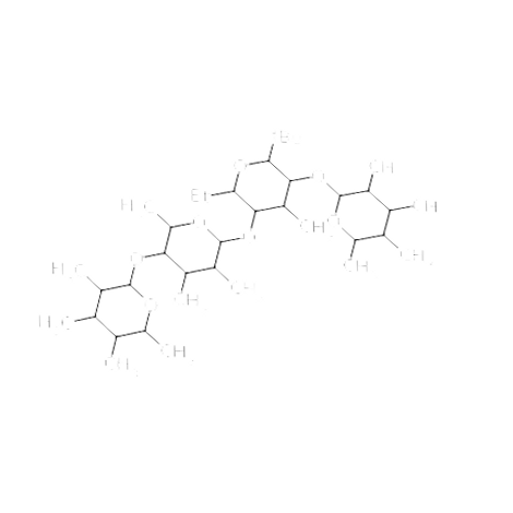 CCC1OC(C(C)(C)C)C(OC2OC(C)C(C)C(C)C2C)C(C)C1OC1OC(C)C(OC2OC(C)C(C)C(C)C2C)C(C)C1C